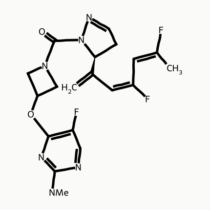 C=C(/C=C(F)\C=C(/C)F)[C@@H]1CC=NN1C(=O)N1CC(Oc2nc(NC)ncc2F)C1